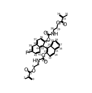 C=C(C)C(=O)OCCNC(=O)Oc1ccc2ccccc2c1-c1c(OC(=O)NCCOC(=O)C(=C)C)ccc2cc(F)ccc12